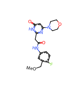 COCc1cc(NC(=O)Cc2nc(N3CCOCC3)cc(=O)[nH]2)ccc1F